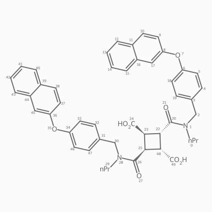 CCCN(Cc1ccc(Oc2ccc3ccccc3c2)cc1)C(=O)[C@H]1[C@H](C(=O)O)[C@H](C(=O)N(CCC)Cc2ccc(Oc3ccc4ccccc4c3)cc2)[C@H]1C(=O)O